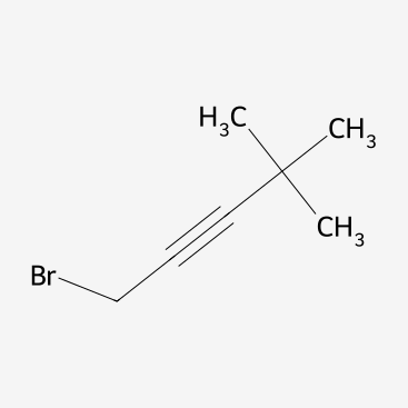 CC(C)(C)C#CCBr